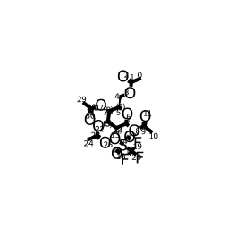 CC(=O)OC[C@H]1OC(OC(C)=O)[C@@H](OS(=O)(=O)C(F)(F)F)[C@@H](OC(C)=O)[C@@H]1OC(C)=O